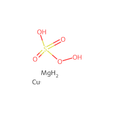 O=S(=O)(O)OO.[Cu].[MgH2]